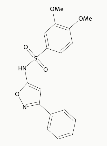 COc1ccc(S(=O)(=O)Nc2cc(-c3ccccc3)no2)cc1OC